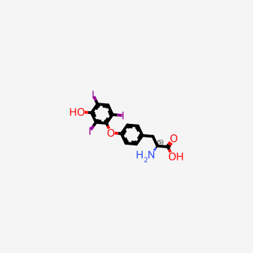 N[C@@H](Cc1ccc(Oc2c(I)cc(I)c(O)c2I)cc1)C(=O)O